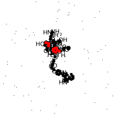 Cc1cccc(-c2c[nH]nc2-c2ccnc(-c3ccc(OCCN(C)C(=O)OCCSSC[C@H](NC(=O)[C@H](CC(=O)O)NC(=O)[C@H](CC(=O)O)NC(=O)[C@H](CCCNC(=N)N)NC(=O)[C@H](CC(=O)O)NC(=O)CC[C@H](NC(=O)CONC(=O)OC(C)(C)C)C(=O)O)C(=O)O)cc3)c2)n1